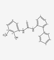 O=C(Nc1ccccc1-c1ccccc1)Nc1cccc([N+](=O)[O-])c1O